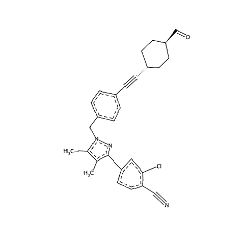 Cc1c(-c2ccc(C#N)c(Cl)c2)nn(Cc2ccc(C#C[C@H]3CC[C@H](C=O)CC3)cc2)c1C